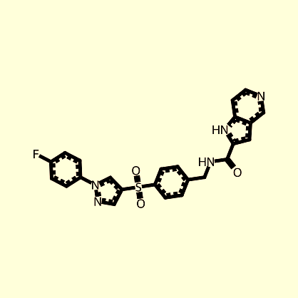 O=C(NCc1ccc(S(=O)(=O)c2cnn(-c3ccc(F)cc3)c2)cc1)c1cc2cnccc2[nH]1